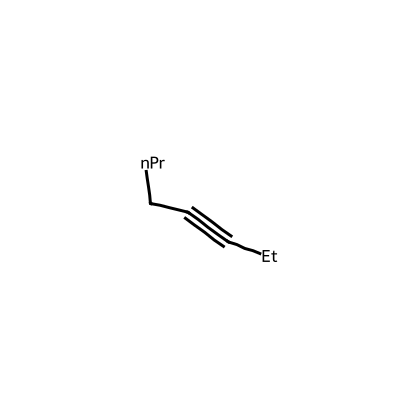 [CH2]CC#CCCCC